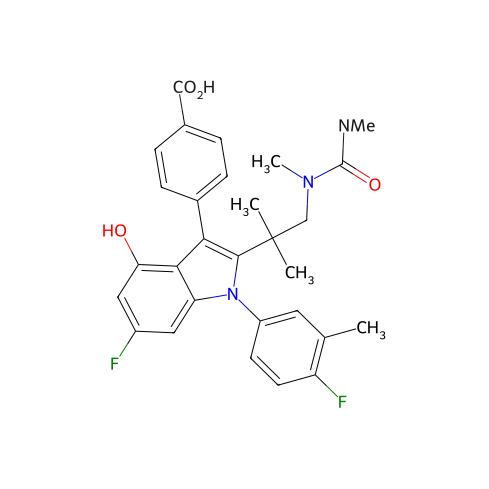 CNC(=O)N(C)CC(C)(C)c1c(-c2ccc(C(=O)O)cc2)c2c(O)cc(F)cc2n1-c1ccc(F)c(C)c1